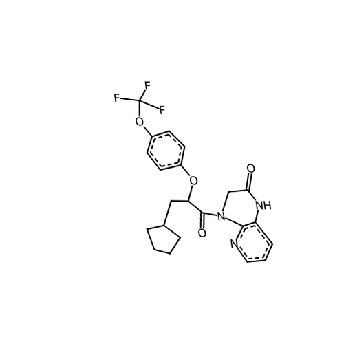 O=C1CN(C(=O)C(CC2CCCC2)Oc2ccc(OC(F)(F)F)cc2)c2ncccc2N1